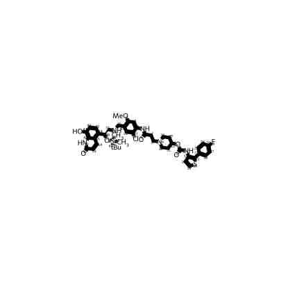 COc1cc(NC(=O)CCN2CCC(OC(=O)Nc3ccsc3-c3ccc(F)cc3)CC2)c(Cl)cc1CNC[C@@H](O[Si](C)(C)C(C)(C)C)c1ccc(O)c2[nH]c(=O)ccc12